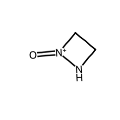 O=[N+]1CCN1